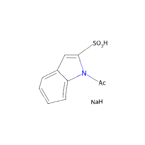 CC(=O)n1c(S(=O)(=O)O)cc2ccccc21.[NaH]